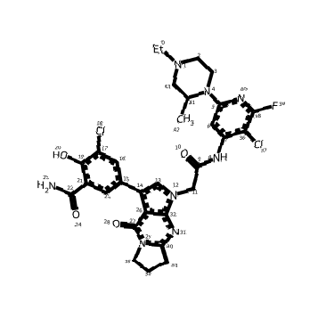 CCN1CCN(c2cc(NC(=O)Cn3cc(-c4cc(Cl)c(O)c(C(N)=O)c4)c4c(=O)n5c(nc43)CCC5)c(Cl)c(F)n2)C(C)C1